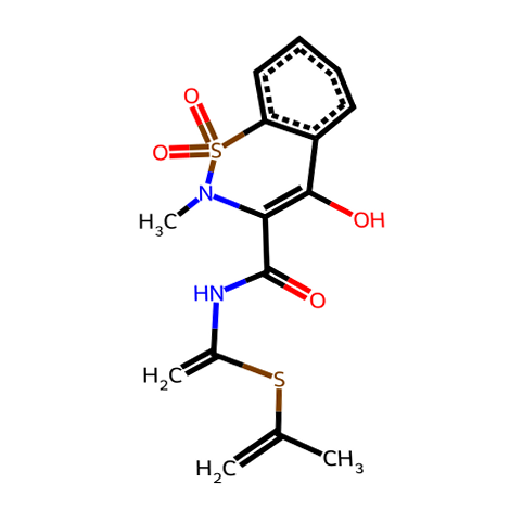 C=C(C)SC(=C)NC(=O)C1=C(O)c2ccccc2S(=O)(=O)N1C